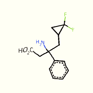 NC(CC(=O)O)(CC1CC1(F)F)c1ccccc1